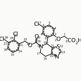 O=C(O)COc1ccc(Cl)cc1C1c2scnc2CCN1C(=O)OCc1cccc(Cl)c1Cl